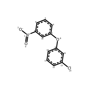 O=[N+]([O-])c1cccc(Oc2cccc(Cl)c2)c1